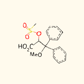 COC(c1ccccc1)(c1ccccc1)C(OS(C)(=O)=O)C(=O)O